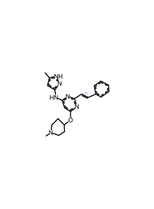 Cc1cc(Nc2cc(OC3CCN(C)CC3)nc(/C=C/c3ccccc3)n2)n[nH]1